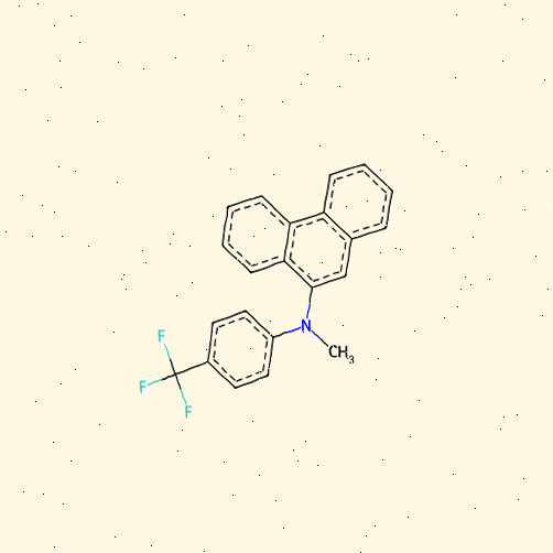 CN(c1ccc(C(F)(F)F)cc1)c1cc2ccccc2c2ccccc12